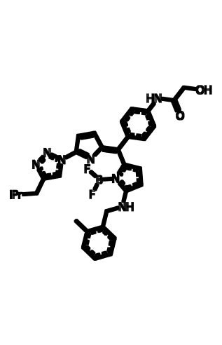 Cc1ccccc1CNc1ccc(/C(=C2/C=CC(n3cc(CC(C)C)nn3)=N2)c2ccc(NC(=O)CO)cc2)n1B(F)F